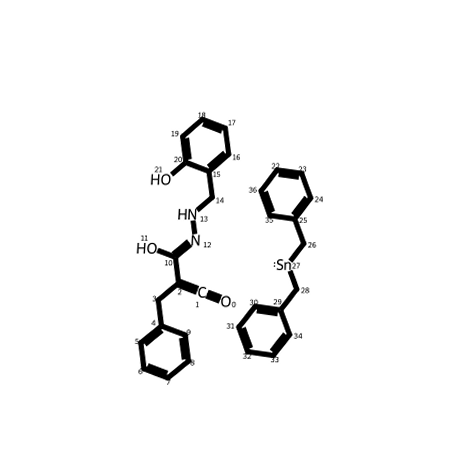 O=C=C(Cc1ccccc1)C(O)=NNCc1ccccc1O.c1ccc([CH2][Sn][CH2]c2ccccc2)cc1